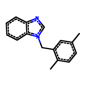 Cc1ccc(C)c(Cn2cnc3ccccc32)c1